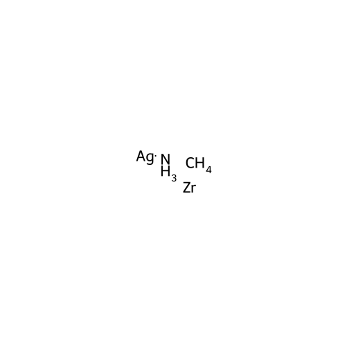 C.N.[Ag].[Zr]